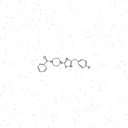 O=C(c1ccccc1)N1CCN(c2nc(Cc3ccc(F)cc3)ns2)CC1